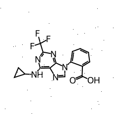 O=C(O)c1ccccc1-n1cnc2c(NC3CC3)nc(C(F)(F)F)nc21